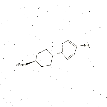 CCCCC[C@H]1CC[C@H](c2ccc(N)cc2)CC1